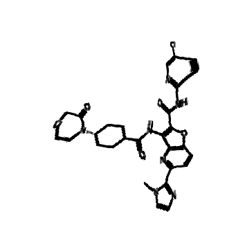 Cn1ccnc1-c1ccc2oc(C(=O)Nc3ccc(Cl)cn3)c(NC(=O)[C@H]3CC[C@H](N4CCOCC4=O)CC3)c2n1